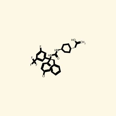 C=C(O)C[C@H]1CC[C@H](NC(=O)N[C@@](Cc2ccccc2)(c2cc(F)cc(C(F)(F)F)c2)c2ccc(Cl)cn2)CC1